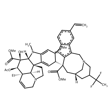 C=Cc1ccc2[nH]c3c(c2c1)CN1CC(C(C)(F)F)C[C@@H](C1)C[C@]3(C(=O)OC)C1C=C2C(=CC1OC)N(C)[C@H]1[C@@](O)(C(=O)OC)[C@H](OC(C)=O)[C@]3(CC)C=CCN4CC[C@]21[C@@H]43